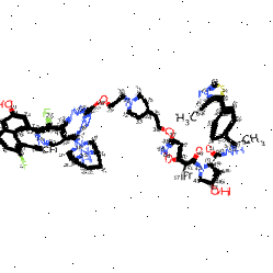 C#Cc1c(F)ccc2cc(O)cc(-c3ncc4c(N5CC6CCC(C5)N6)nc(OCCN5CCC(CCOc6cc([C@@H](C(=O)N7C[C@H](O)C[C@H]7C(=O)N[C@@H](C)c7ccc(-c8scnc8C)cc7)C(C)C)on6)CC5)nc4c3F)c12